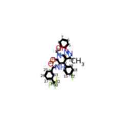 Cc1nn(-c2ccccc2)c2c1C(c1ccc(F)cc1)C(NC(=O)c1cccc(C(F)(F)F)c1)C(=O)N2CO